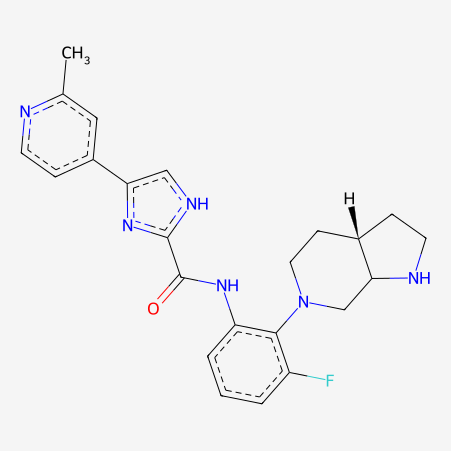 Cc1cc(-c2c[nH]c(C(=O)Nc3cccc(F)c3N3CC[C@@H]4CCNC4C3)n2)ccn1